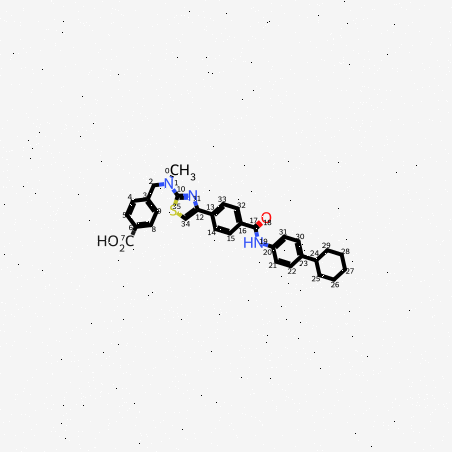 CN(Cc1ccc(C(=O)O)cc1)c1nc(-c2ccc(C(=O)Nc3ccc(C4CCCCC4)cc3)cc2)cs1